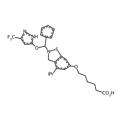 CC(C)c1cc(OCCCCCC(=O)O)cc2c1CN(C(Oc1cc(C(F)(F)F)n[nH]1)c1ccccc1)S2